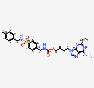 CCCc1nc(N)c2ncn(CCCCOC(=O)NCc3ccc(S(=O)(=O)NCc4ccc(C)cc4)cc3)c2n1